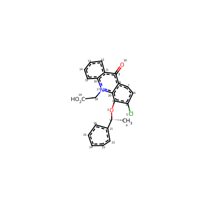 C[C@@H](Oc1c(Cl)ccc2c(=O)c3ccccc3n(CC(=O)O)c12)c1ccccc1